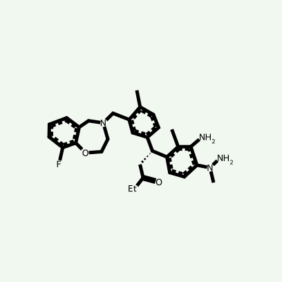 CCC(=O)C[C@H](c1ccc(C)c(CN2CCOc3c(F)cccc3C2)c1)c1ccc(N(C)N)c(N)c1C